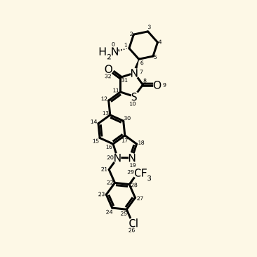 N[C@@H]1CCCC[C@H]1N1C(=O)SC(=Cc2ccc3c(cnn3Cc3ccc(Cl)cc3C(F)(F)F)c2)C1=O